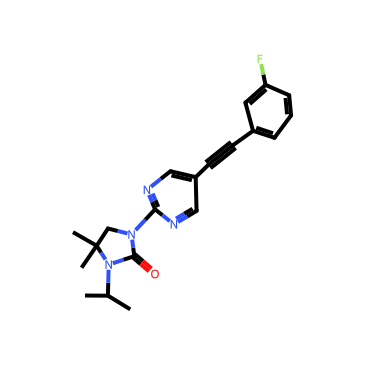 CC(C)N1C(=O)N(c2ncc(C#Cc3cccc(F)c3)cn2)CC1(C)C